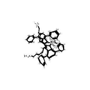 CCCCCCCC1=Cc2c(-c3ccccc3)ccc(-c3ccccc3)c2[CH]1[Zr]([Cl])([Cl])([CH]1C(CCCCCCC)=Cc2c(-c3ccccc3)ccc(-c3ccccc3)c21)[SiH](C)C